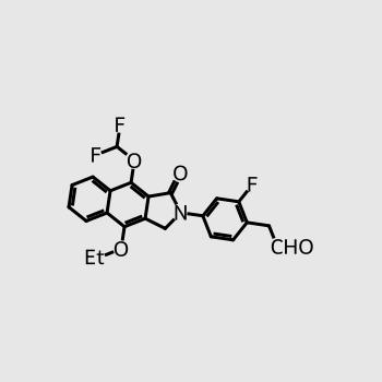 CCOc1c2c(c(OC(F)F)c3ccccc13)C(=O)N(c1ccc(CC=O)c(F)c1)C2